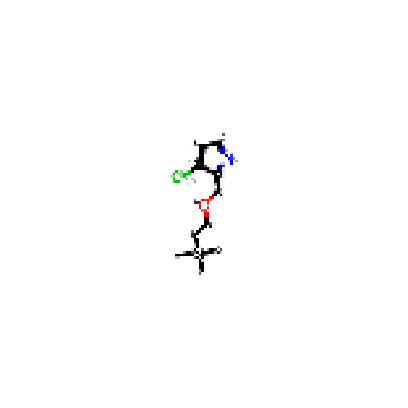 C[Si](C)(C)CCOCC1N=CC=C1Cl